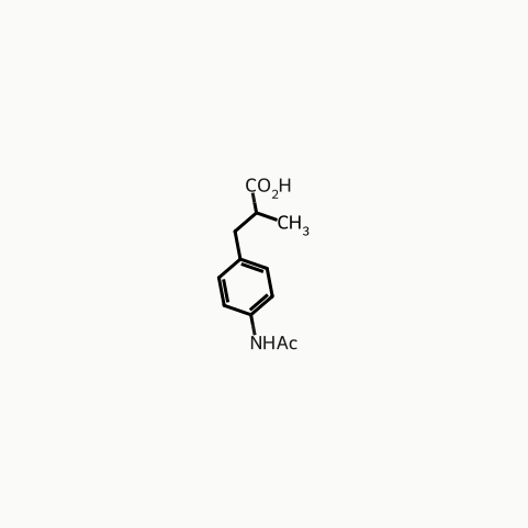 CC(=O)Nc1ccc(CC(C)C(=O)O)cc1